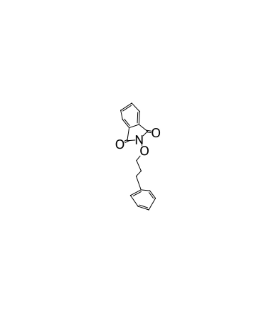 O=C1c2ccccc2C(=O)N1OCCCc1ccccc1